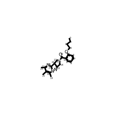 CCCCOc1ccccc1C(=O)N1CC2=NN3C(C)=C(C)C(C)=NC3C2C1